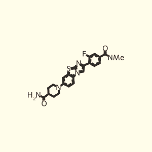 CNC(=O)c1ccc(-c2cn3c(n2)sc2cc(N4CCC(C(N)=O)CC4)ccc23)c(F)c1